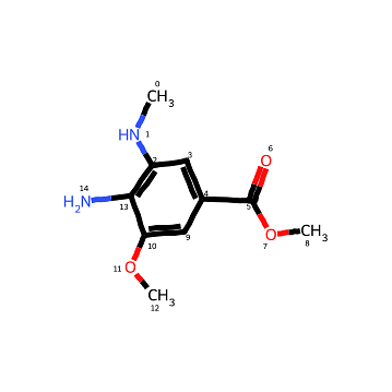 CNc1cc(C(=O)OC)cc(OC)c1N